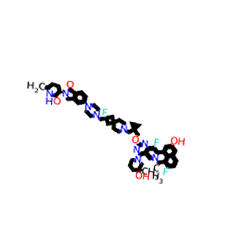 C=C1CC[C@H](N2Cc3cc(N4CCN(CC5(F)CC6(CCN(CC7(COc8nc(N9CCC[C@@](C)(O)C9)c9cnc(-c%10cc(O)cc%11ccc(F)c(CC)c%10%11)c(F)c9n8)CC7)CC6)C5)CC4)ccc3C2=O)C(=O)N1